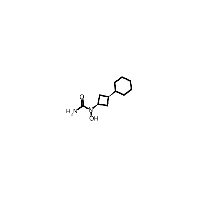 NC(=O)N(O)[C@H]1C[C@@H](C2CCCCC2)C1